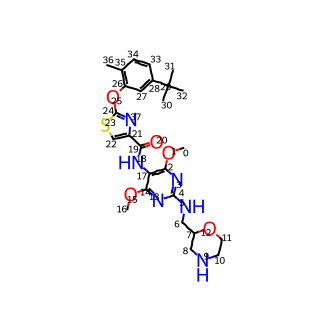 COc1nc(NCC2CNCCO2)nc(OC)c1NC(=O)c1csc(Oc2cc(C(C)(C)C)ccc2C)n1